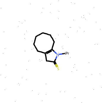 CC(C)N1C(=S)CC2=C1CCCCCC2